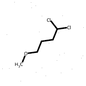 COCCCC(Cl)Cl